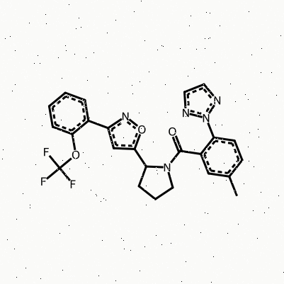 Cc1ccc(-n2nccn2)c(C(=O)N2CCCC2c2cc(-c3ccccc3OC(F)(F)F)no2)c1